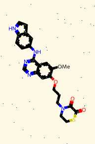 COc1cc2c(Nc3ccc4[nH]ccc4c3)ncnc2cc1OCCCN1CCSC(=O)C1=O